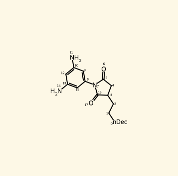 CCCCCCCCCCCCC1CC(=O)N(c2cc(N)cc(N)c2)C1=O